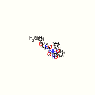 O=C(NCC(=O)N1CCC(Oc2cccc(C(F)(F)F)c2)CC1)c1cc(-c2ccccc2OCc2ccccc2)on1